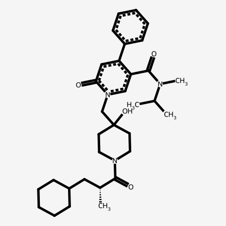 CC(C)N(C)C(=O)c1cn(CC2(O)CCN(C(=O)[C@H](C)CC3CCCCC3)CC2)c(=O)cc1-c1ccccc1